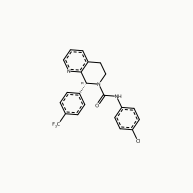 O=C(Nc1ccc(Cl)cc1)N1CCc2cccnc2[C@H]1c1ccc(C(F)(F)F)cc1